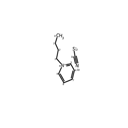 CCCC[n+]1ccccc1.N#C[S-]